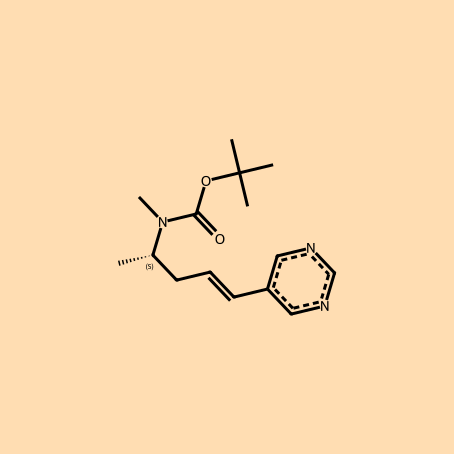 C[C@@H](CC=Cc1cncnc1)N(C)C(=O)OC(C)(C)C